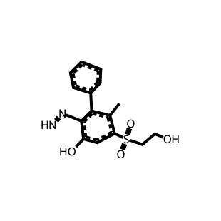 Cc1c(S(=O)(=O)CCO)cc(O)c(N=N)c1-c1ccccc1